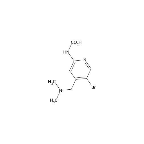 CN(C)Cc1cc(NC(=O)O)ncc1Br